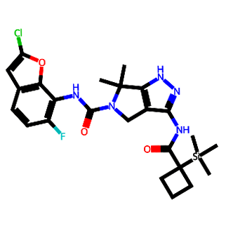 CC1(C)c2[nH]nc(NC(=O)C3([Si](C)(C)C)CCC3)c2CN1C(=O)Nc1c(F)ccc2cc(Cl)oc12